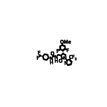 COc1cc(F)c([C@@H]2CN(c3ncccc3C(F)(F)F)C(=O)C2CNC(=O)N[C@H]2CC[C@H](C(F)F)CC2)c(F)c1